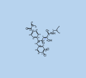 CC(C)CNC(=O)/C(O)=C/C(=O)N(Cc1ccc(Cl)c(Cl)c1)c1ccc(C(=O)N(C)C)cc1